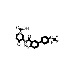 O=C1CCN(C(=O)O)CC1n1nnc2ccc(-c3ccc(OC(F)(F)F)cc3)cc2c1=O